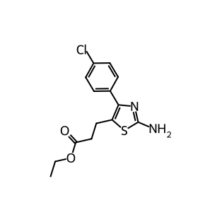 CCOC(=O)CCc1sc(N)nc1-c1ccc(Cl)cc1